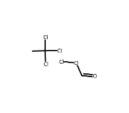 CC(Cl)(Cl)Cl.O=COCl